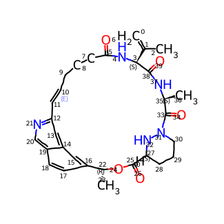 C=C(C)[C@@H]1NC(=O)CCC/C=C/c2cc3cc(ccc3cn2)[C@@H](C)OC(=O)[C@@H]2CCCN(N2)C(=O)[C@H](C)NC1=O